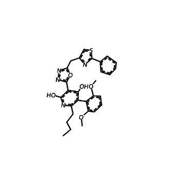 CCCCc1nc(O)c(-c2nnc(Cc3csc(-c4ccccc4)n3)o2)c(O)c1-c1c(OC)cccc1OC